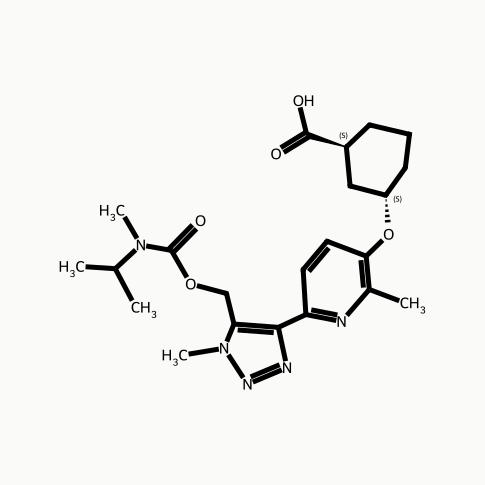 Cc1nc(-c2nnn(C)c2COC(=O)N(C)C(C)C)ccc1O[C@H]1CCC[C@H](C(=O)O)C1